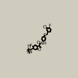 O=C(Nc1ccc(OCc2ccc(F)c(Cl)c2)cc1)c1coc2cc(-c3nnn[nH]3)c(F)cc12